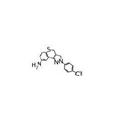 Nc1ccc2c(c1)C1=NN(c3ccc(Cl)cc3)CC1CS2